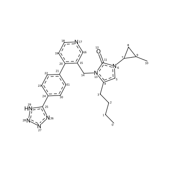 CCCCc1cn(C2CC2C)c(=O)n1Cc1cnccc1-c1ccc(-c2nnn[nH]2)cc1